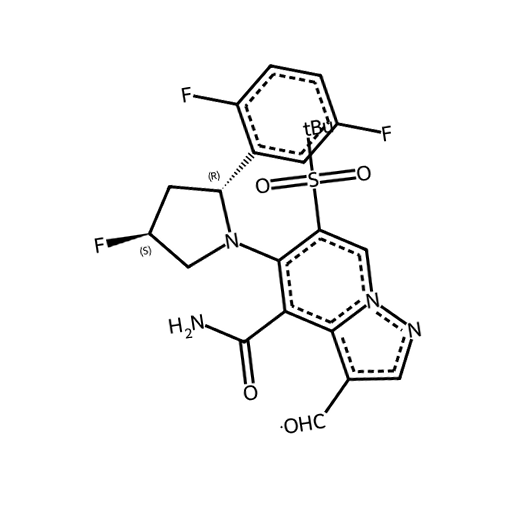 CC(C)(C)S(=O)(=O)c1cn2ncc([C]=O)c2c(C(N)=O)c1N1C[C@@H](F)C[C@@H]1c1cc(F)ccc1F